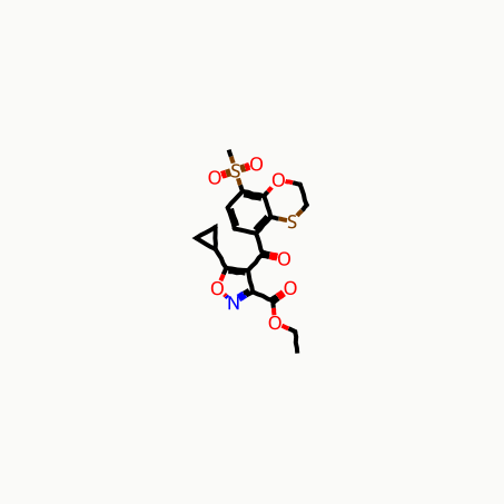 CCOC(=O)c1noc(C2CC2)c1C(=O)c1ccc(S(C)(=O)=O)c2c1SCCO2